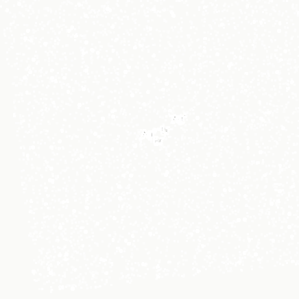 [Ag+].[Ag+].[Br-].[Br-]